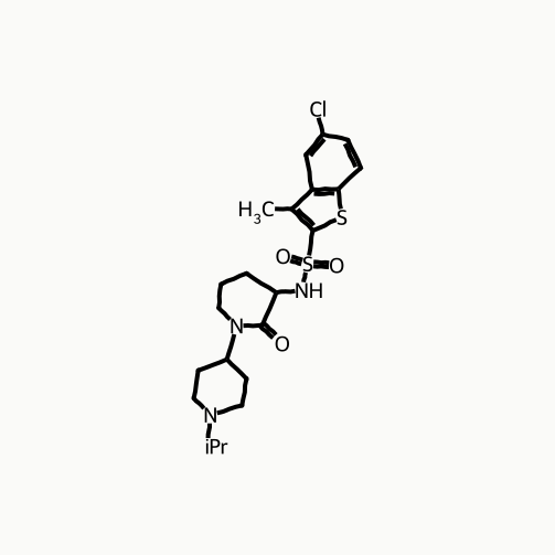 Cc1c(S(=O)(=O)NC2CCCN(C3CCN(C(C)C)CC3)C2=O)sc2ccc(Cl)cc12